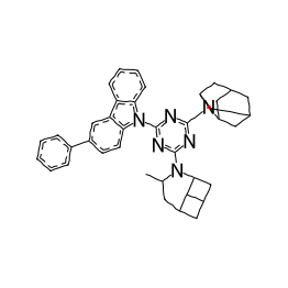 CC1CC2CC3CC(C23)N1c1nc(N2C3CC4CC(C3)CC2C4)nc(-n2c3ccccc3c3cc(-c4ccccc4)ccc32)n1